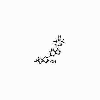 Cn1nc2cc(O)c(-c3cc4ccn([C@H]5CC(C)(C)NC(C)(C)[C@H]5F)c4nn3)cc2n1